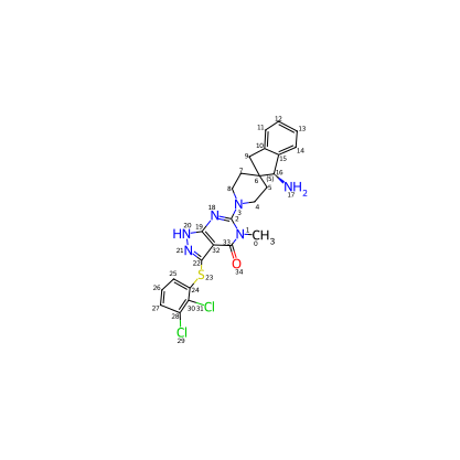 Cn1c(N2CCC3(CC2)Cc2ccccc2[C@H]3N)nc2[nH]nc(Sc3cccc(Cl)c3Cl)c2c1=O